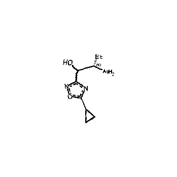 CC[C@H]([AsH2])C(O)c1noc(C2CC2)n1